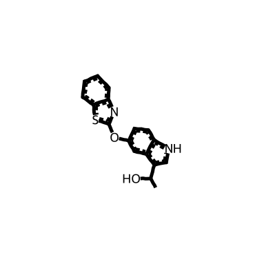 CC(O)c1c[nH]c2ccc(Oc3nc4ccccc4s3)cc12